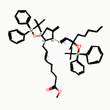 C=C1C[C@H](O[Si](c2ccccc2)(c2ccccc2)C(C)(C)C)[C@H](C/C=C/CCCC(=O)OC)[C@H]1/C=C/C(C)(CCCCC)O[Si](c1ccccc1)(c1ccccc1)C(C)(C)C